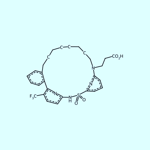 O=C(O)CCN1CCCCCCCCc2ccccc2-c2nc(ccc2C(F)(F)F)NS(=O)(=O)c2cccc1n2